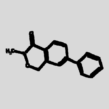 CN1OCc2cc(-c3ccccc3)ccc2C1=O